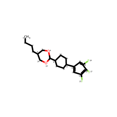 CCCCC1COC(C2CCC(c3cc(F)c(F)c(F)c3)CC2)OC1